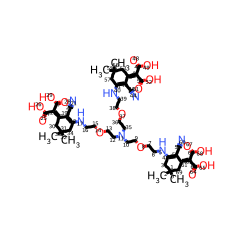 CC1(C)CC(NCCOCCN(CCOCCNC2=C(C#N)C(=C(C(=O)O)C(=O)O)CC(C)(C)C2)CCOCCNC2=C(C#N)C(=C(C(=O)O)C(=O)O)CC(C)(C)C2)=C(C#N)C(=C(C(=O)O)C(=O)O)C1